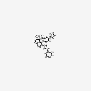 N#Cc1cnc2cnc(NCCN3CCOCC3)cc2c1Nc1cccc(-c2ccco2)c1